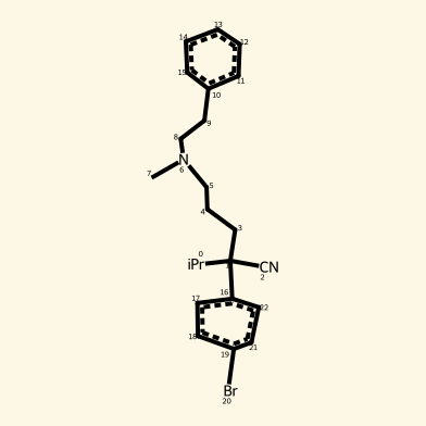 CC(C)C(C#N)(CCCN(C)CCc1ccccc1)c1ccc(Br)cc1